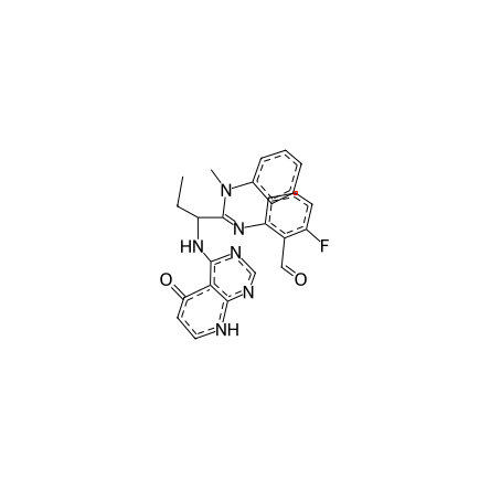 CCC(Nc1ncnc2[nH]ccc(=O)c12)/C(=N/c1cccc(F)c1C=O)N(C)c1ccccc1